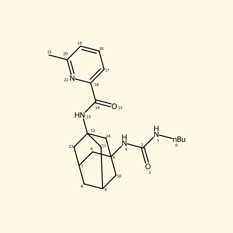 CCCCNC(=O)NC12CC3CC(C1)CC(NC(=O)c1cccc(C)n1)(C3)C2